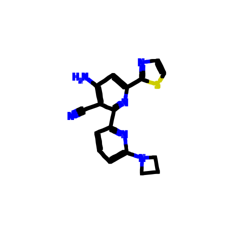 N#Cc1c(N)cc(-c2nccs2)nc1-c1cccc(N2CCC2)n1